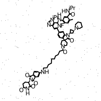 Cc1cc(F)c(Nc2nc(-c3ccc4c(c3)N([C@H]3C[C@@H](N5CCCCC5)C3)C(=O)C43CCN(C(=O)CCCCCCCCCNc4ccc5c(c4)C(=O)N(C4CCC(=O)NC4=O)C5=O)CC3)cc3ncn(C(C)C)c23)cc1C(=O)NC(C)C